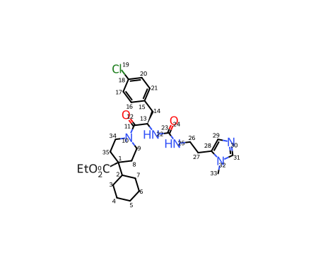 CCOC(=O)C1(C2CCCCC2)CCN(C(=O)[C@@H](Cc2ccc(Cl)cc2)NC(=O)NCCc2cncn2C)CC1